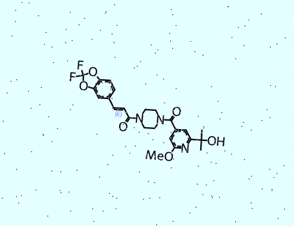 COc1cc(C(=O)N2CCN(C(=O)/C=C/c3ccc4c(c3)OC(F)(F)O4)CC2)cc(C(C)(C)O)n1